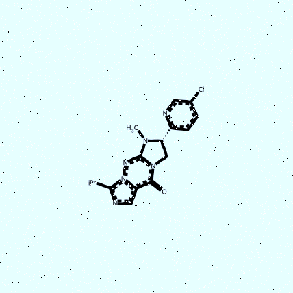 CC(C)c1ncc2c(=O)n3c(nn12)N(C)[C@H](c1ccc(Cl)cn1)C3